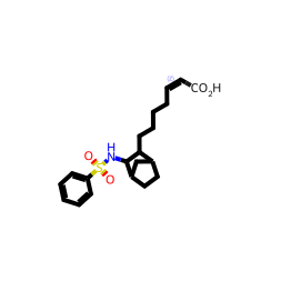 O=C(O)/C=C\CCCCC1C2CCC(C2)C1NS(=O)(=O)c1ccccc1